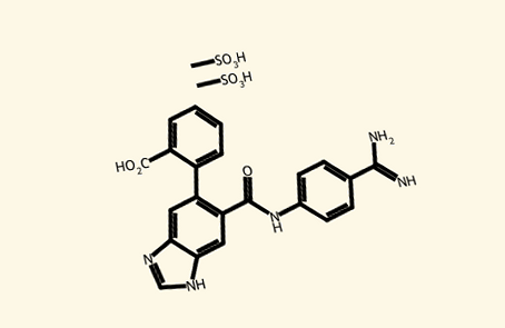 CS(=O)(=O)O.CS(=O)(=O)O.N=C(N)c1ccc(NC(=O)c2cc3[nH]cnc3cc2-c2ccccc2C(=O)O)cc1